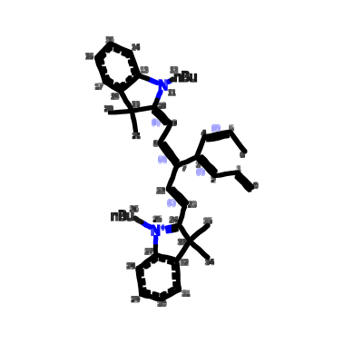 C=C/C=C(\C=C/C)C(=C\C=C1\N(CCCC)c2ccccc2C1(C)C)/C=C/C1=[N+](CCCC)c2ccccc2C1(C)C